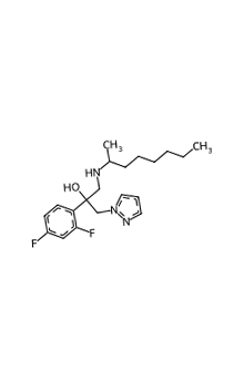 CCCCCCC(C)NCC(O)(Cn1cccn1)c1ccc(F)cc1F